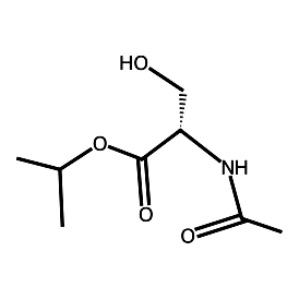 CC(=O)N[C@@H](CO)C(=O)OC(C)C